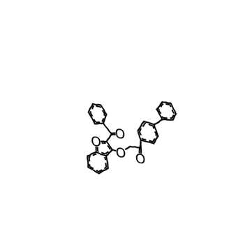 O=C(COc1c(C(=O)c2ccccc2)oc2ccccc12)c1ccc(-c2ccccc2)cc1